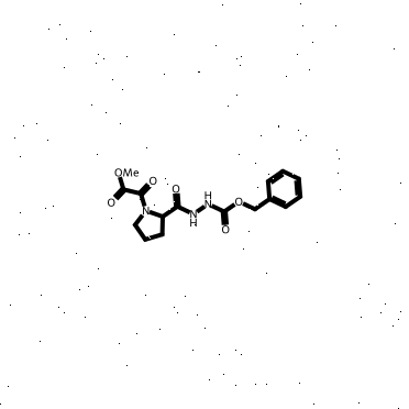 COC(=O)C(=O)N1CCCC1C(=O)NNC(=O)OCc1ccccc1